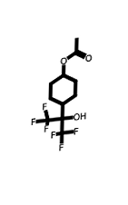 CC(=O)OC1CCC(C(O)(C(F)(F)F)C(F)(F)F)CC1